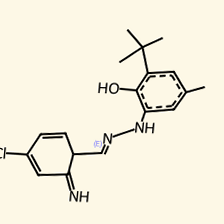 Cc1cc(N/N=C/C2C=CC(Cl)=CC2=N)c(O)c(C(C)(C)C)c1